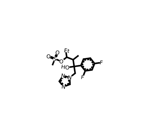 CCC(OS(C)(=O)=O)C(C)C(O)(Cn1cncn1)c1ccc(F)cc1F